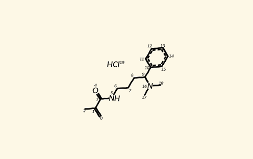 C=C(C)C(=O)NCCCC(c1ccccc1)N(C)C.Cl